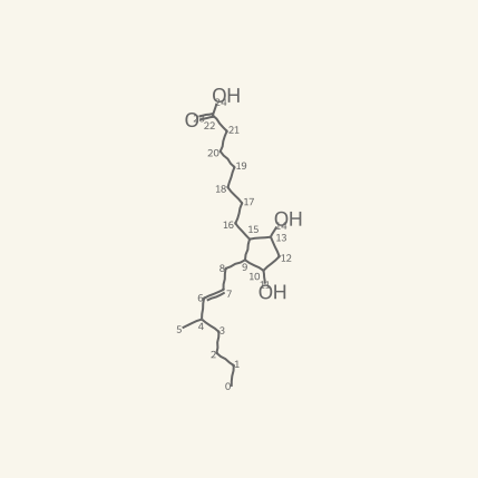 CCCCC(C)C=CCC1C(O)CC(O)C1CCCCCCC(=O)O